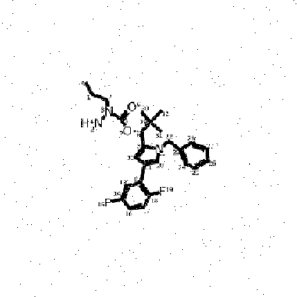 CCCN(N)C(=O)O[C@@H](c1cc(-c2cc(F)ccc2F)cn1Cc1ccccc1)C(C)(C)C